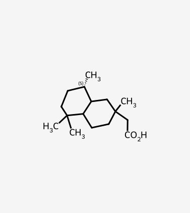 C[C@H]1CCC(C)(C)C2CCC(C)(CC(=O)O)CC21